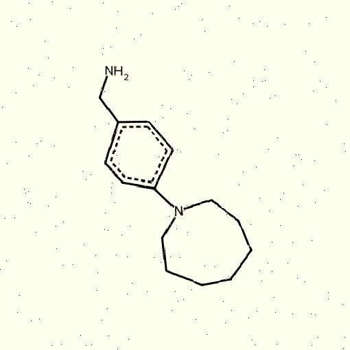 NCc1ccc(N2CCCCCCC2)cc1